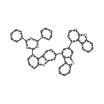 c1ccc(-c2nc(-c3ccccc3)nc(-c3cccc4sc5cc(-c6cc(-c7cccc8oc9ccccc9c78)cc7sc8ccccc8c67)ccc5c34)n2)cc1